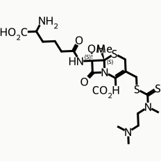 CO[C@@]1(NC(=O)CCCC(N)C(=O)O)C(=O)N2C(C(=O)O)=C(CSC(=S)N(C)CCN(C)C)CS[C@H]21